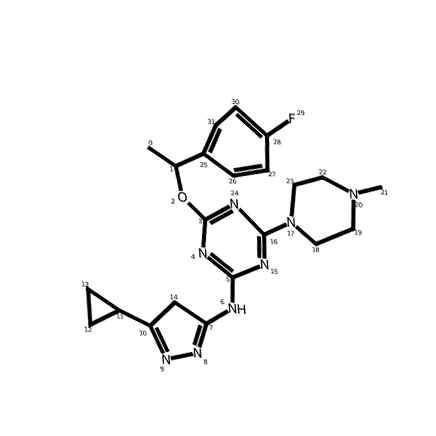 CC(Oc1nc(NC2=NN=C(C3CC3)C2)nc(N2CCN(C)CC2)n1)c1ccc(F)cc1